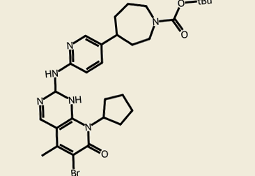 Cc1c2c(n(C3CCCC3)c(=O)c1Br)NC(Nc1ccc(C3CCCN(C(=O)OC(C)(C)C)CC3)cn1)N=C2